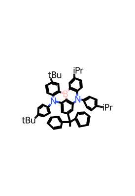 CC(C)c1ccc(N2c3ccc(C(C)C)cc3B3c4cc(C(C)(C)C)ccc4N(c4ccc(C(C)(C)C)cc4)c4cc(C(C)(c5ccccc5)c5ccccc5)cc2c43)cc1